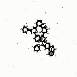 c1ccc(-c2nc(-c3ccccc3)nc(-c3cccc4oc5ccc(-c6ccc7c(c6)c6cc8c(cc6n7-c6ccccc6)C6CC7CC8CC6C7)cc5c34)n2)cc1